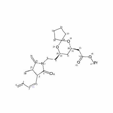 C=C/C=C\C1C(=O)N(CC[C@@H]2C[C@H](CC(=O)OC(C)C)OC3(CCCC3)O2)C(=C)C1C